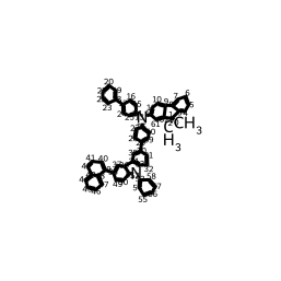 CC1(C)c2ccccc2-c2ccc(N(c3ccc(-c4ccccc4)cc3)c3ccc(-c4ccc5c(c4)C4C=C(c6cccc7ccccc67)C=CC4N5c4ccccc4)cc3)cc21